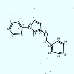 [c]1cn(-c2ccccc2)nc1OCc1ccccc1